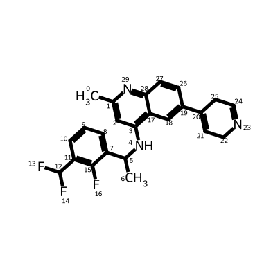 Cc1cc(NC(C)c2cccc(C(F)F)c2F)c2cc(C3=CCN=CC3)ccc2n1